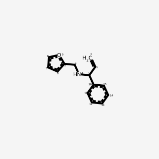 C=CC(NCc1ccco1)c1ccccc1